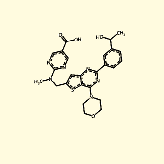 CC(O)c1cccc(-c2nc(N3CCOCC3)c3sc(CN(C)c4ncc(C(=O)O)cn4)cc3n2)c1